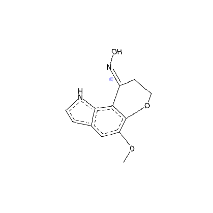 COc1cc2cc[nH]c2c2c1OCC/C2=N\O